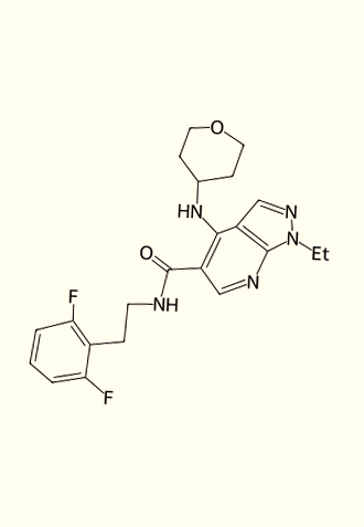 CCn1ncc2c(NC3CCOCC3)c(C(=O)NCCc3c(F)cccc3F)cnc21